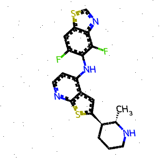 C[C@@H]1NCCC[C@H]1c1cc2c(Nc3c(F)cc4scnc4c3F)ccnc2s1